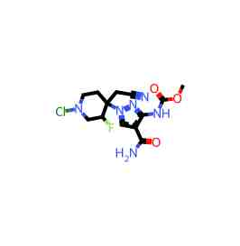 COC(=O)Nc1nn(C2(CC#N)CCN(Cl)CC2F)cc1C(N)=O